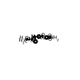 CC(C)CNc1nc2ccccc2n2c(-c3ccc(C(=O)Nc4ccc(S(N)(=O)=O)cc4)cc3)cnc12